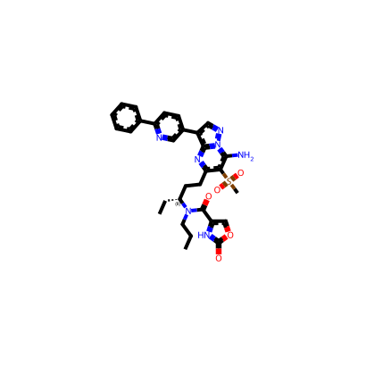 CCCN(C(=O)c1coc(=O)[nH]1)[C@H](CC)CCc1nc2c(-c3ccc(-c4ccccc4)nc3)cnn2c(N)c1S(C)(=O)=O